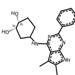 Cc1[nH]c2nc(-c3ccccc3)nc(NC3CC[C@@H](O)[C@@H](O)C3)c2c1C